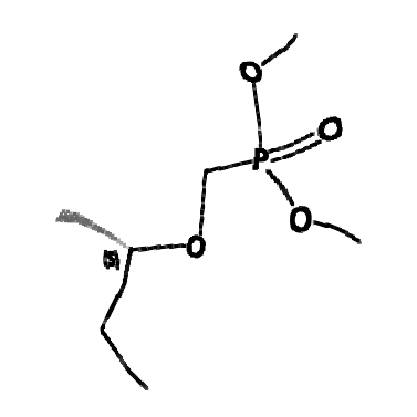 CC[C@H](C)OCP(=O)(OC)OC